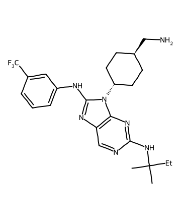 CCC(C)(C)Nc1ncc2nc(Nc3cccc(C(F)(F)F)c3)n([C@H]3CC[C@H](CN)CC3)c2n1